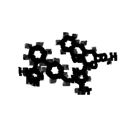 CCCc1cc(C(=O)NC(CC(=O)O)Cc2ccccc2C(F)(F)F)nn1Cc1ccc(-c2ccccc2-c2nnn[nH]2)cc1